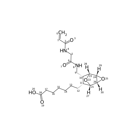 C=CC(=O)NCC(=O)NC[C@H]1[C@@H](CCCCCCC(=O)O)[C@@H]2O[C@H]1[C@@H]1O[C@@H]12